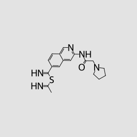 CC(=N)SC(=N)c1ccc2cnc(NC(=O)CN3CCCC3)cc2c1